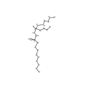 CCCCCCCCCC(=O)OCC(C)(CCCC)CCCCCC